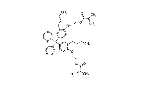 C=C(C)C(=O)OCCOc1ccc(C2(c3ccc(OCCOC(=O)C(=C)C)c(CCCC)c3)c3ccccc3-c3ccccc32)cc1CCCC